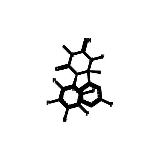 CN1C(=N)N(F)[C@](C)(c2cc(F)ccc2F)[C@@H](c2c(F)c(F)c([S])c(F)c2F)C1=O